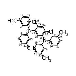 Cc1cccc(N(c2cccc(C)c2)c2cc(N(c3cccc(C)c3)c3cccc(C)c3)c(Cl)cc2Cl)c1